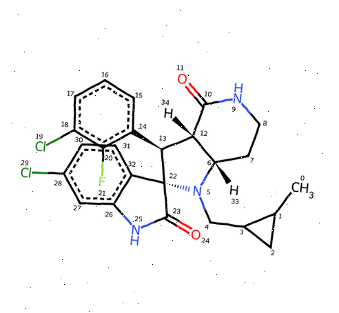 CC1CC1CN1[C@H]2CCNC(=O)[C@H]2[C@H](c2cccc(Cl)c2F)[C@]12C(=O)Nc1cc(Cl)ccc12